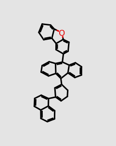 C1=C(c2cccc3ccccc23)C=C(c2c3ccccc3c(-c3ccc4oc5ccccc5c4c3)c3ccccc23)CC1